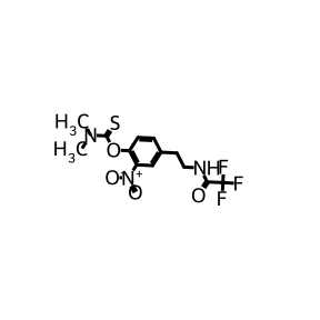 CN(C)C(=S)Oc1ccc(CCNC(=O)C(F)(F)F)cc1[N+](=O)[O-]